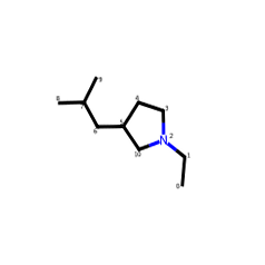 CCN1CCC(CC(C)C)C1